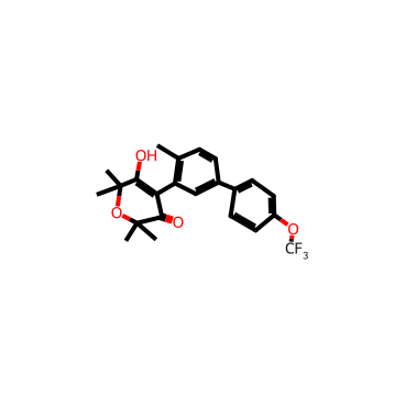 Cc1ccc(-c2ccc(OC(F)(F)F)cc2)cc1C1=C(O)C(C)(C)OC(C)(C)C1=O